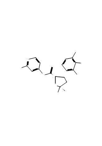 COc1c([C@@H]2C[C@@](C)(C(F)(F)F)O[C@H]2C(=O)Nc2ccnc(C(C)=O)c2)ccc(F)c1Cl